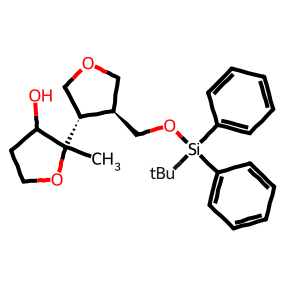 CC1([C@@H]2COC[C@H]2CO[Si](c2ccccc2)(c2ccccc2)C(C)(C)C)OCCC1O